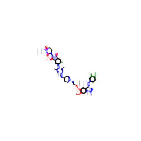 COc1cc2ncnc(Nc3ccc(F)c(Cl)c3)c2cc1OCCCN1CCC(CN2CC(C)N(c3cc4c(cc3F)C(=O)N(C3CCC(=O)NC3=O)C4=O)C(C)C2)CC1